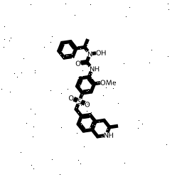 COc1cc(S(=O)(=O)Cc2ccc3c(c2)CC(C)NC3)ccc1NC(=O)N(O)C(C)c1ccccc1